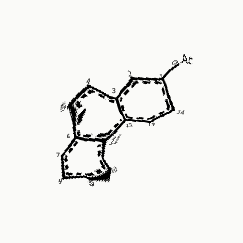 CC(=O)c1[c]c2ccc3ccccc3c2cc1